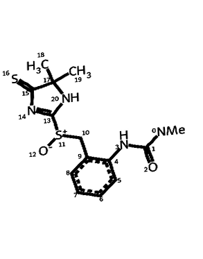 CNC(=O)Nc1ccccc1C[S+]([O-])C1=NC(=S)C(C)(C)N1